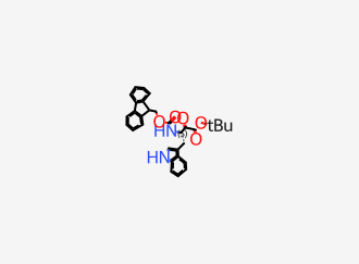 CC(C)(C)OC(=O)C(=O)[C@H](Cc1c[nH]c2ccccc12)NC(=O)OCC1c2ccccc2-c2ccccc21